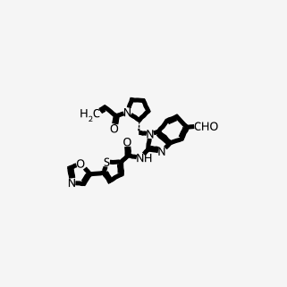 C=CC(=O)N1CCC[C@@H]1Cn1c(NC(=O)c2ccc(-c3cnco3)s2)nc2cc(C=O)ccc21